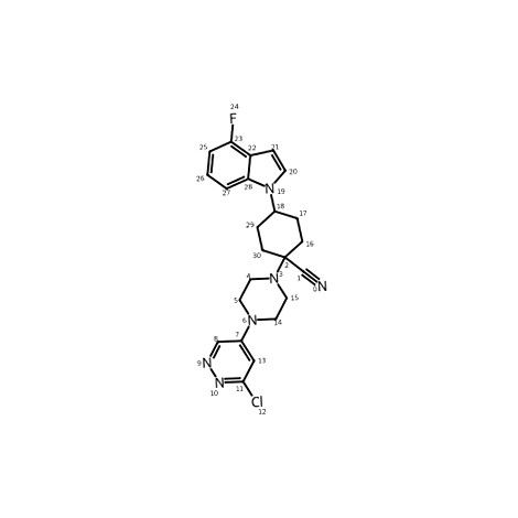 N#CC1(N2CCN(c3cnnc(Cl)c3)CC2)CCC(n2ccc3c(F)cccc32)CC1